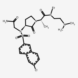 CCN(CCN(C)C)C(=O)[C@H](C)N1CC[C@H](N(CC(N)=O)S(=O)(=O)c2ccc3cc(Cl)ccc3c2)C1=O